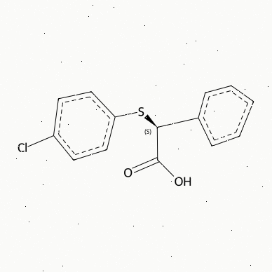 O=C(O)[C@@H](Sc1ccc(Cl)cc1)c1ccccc1